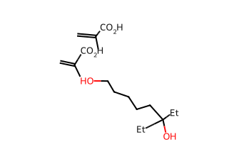 C=C(C)C(=O)O.C=C(C)C(=O)O.CCC(O)(CC)CCCCCO